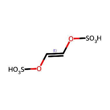 O=S(=O)(O)O/C=C/OS(=O)(=O)O